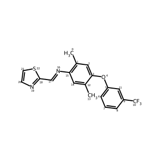 Cc1cc(Oc2cccc(C(F)(F)F)c2)c(C)cc1N=Cc1nccs1